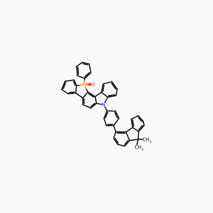 CC1(C)c2ccccc2-c2c(-c3ccc(-n4c5ccccc5c5c6c(ccc54)-c4ccccc4P6(=O)c4ccccc4)cc3)cccc21